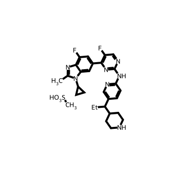 CCC(c1ccc(Nc2ncc(F)c(-c3cc(F)c4nc(C)n(C5CC5)c4c3)n2)nc1)C1CCNCC1.CS(=O)(=O)O